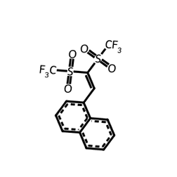 O=S(=O)(C(=Cc1cccc2ccccc12)S(=O)(=O)C(F)(F)F)C(F)(F)F